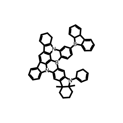 CC12CCCCC1(C)N(C1=CC=CCC1)c1cc3c(cc12)-n1c2ccccc2c2cc4c5c(n6c4c(c21)B3c1ccc(B2c3ccccc3C3C=CC=CC23)cc1-6)CCC=C5